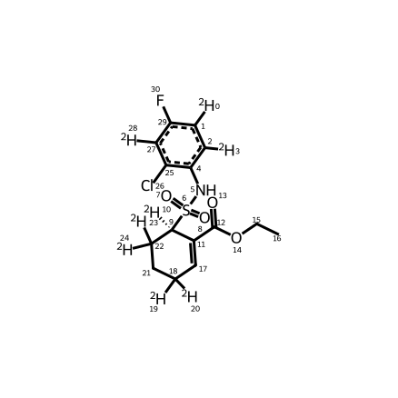 [2H]c1c([2H])c(NS(=O)(=O)[C@@]2([2H])C(C(=O)OCC)=CC([2H])([2H])CC2([2H])[2H])c(Cl)c([2H])c1F